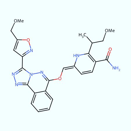 COCc1cc(-c2nnc3c4ccccc4c(OC=C4C=CC(C(N)=O)=C(C(C)COC)N4)nn23)no1